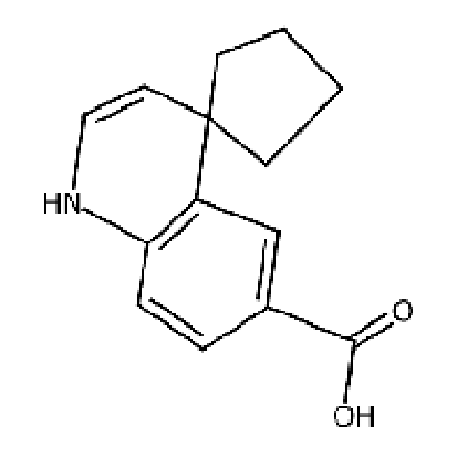 O=C(O)c1ccc2c(c1)C1(C=CN2)CCCC1